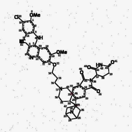 COc1cc(Nc2c(C#N)cnc3cc(OCCCN4CCC(CN5C6CC5CN(c5ccc7c(c5)C(=O)N(C5CCC(=O)NC5=O)C7=O)C6)CC4)c(OC)cc23)c(Cl)cc1Cl